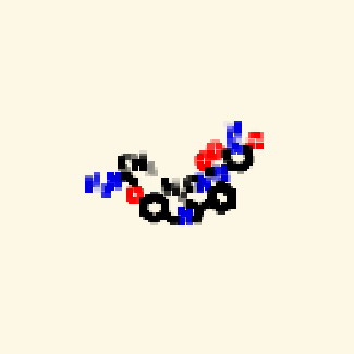 CC(N)COC1CCC(CN2CC(c3cccc4c3n(C)c(=O)n4C3CCC(=O)NC3=O)C2)CC1